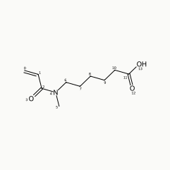 C=CC(=O)N(C)CCCCCC(=O)O